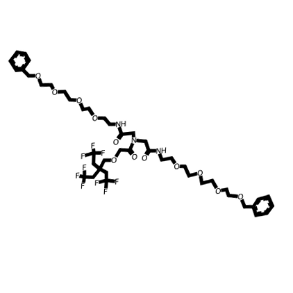 O=C(CN(CC(=O)NCCOCCOCCOCCOCc1ccccc1)C(=O)COCC(CC(F)(F)F)(CC(F)(F)F)CC(F)(F)F)NCCOCCOCCOCCOCc1ccccc1